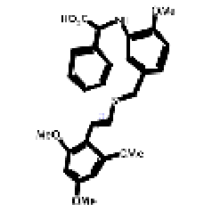 COc1cc(OC)c(/C=C/SCc2ccc(OC)c(NC(C(=O)O)c3ccccc3)c2)c(OC)c1